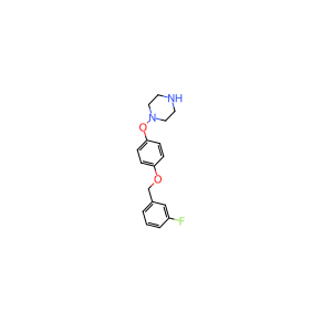 Fc1cccc(COc2ccc(ON3CCNCC3)cc2)c1